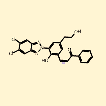 O=C(/C=C\c1cc(CCO)cc(-n2nc3cc(Cl)c(Cl)cc3n2)c1O)c1ccccc1